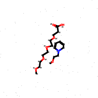 COCCN1C=CC=CC1.COCCOCCOCCOCCC(=O)O